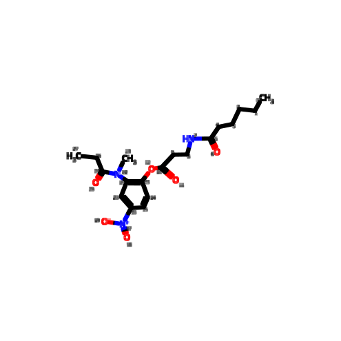 CCCCCC(=O)NCCC(=O)Oc1ccc([N+](=O)[O-])cc1N(C)C(=O)CC